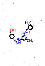 Cc1cc(-c2nnn(C[C@H]3CC[C@H](CO)CC3)n2)cc(C(=O)NCc2ccc(F)c(C)c2)n1